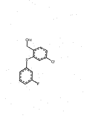 OCc1ccc(Cl)cc1Sc1cccc(F)c1